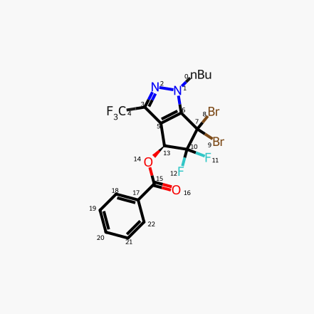 CCCCn1nc(C(F)(F)F)c2c1C(Br)(Br)C(F)(F)[C@H]2OC(=O)c1ccccc1